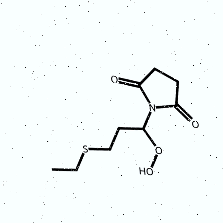 CCSCCC(OO)N1C(=O)CCC1=O